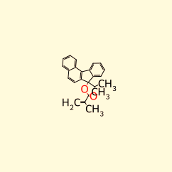 C=C(C)C(=O)OC1(C(C)C)c2ccccc2-c2c1ccc1ccccc21